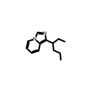 CCCC(CC)c1ncn2ccccc12